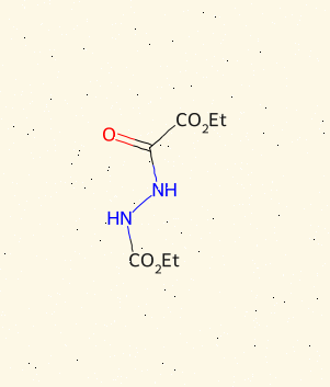 CCOC(=O)NNC(=O)C(=O)OCC